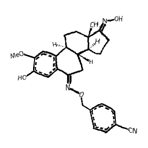 COc1cc2c(cc1O)/C(=N/OCc1ccc(C#N)cc1)C[C@@H]1[C@@H]2CC[C@]2(C)/C(=N/O)CC[C@@H]12